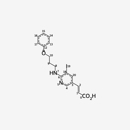 O=C(O)/C=C/c1cnc(NCCCOc2ccccc2)c(I)c1